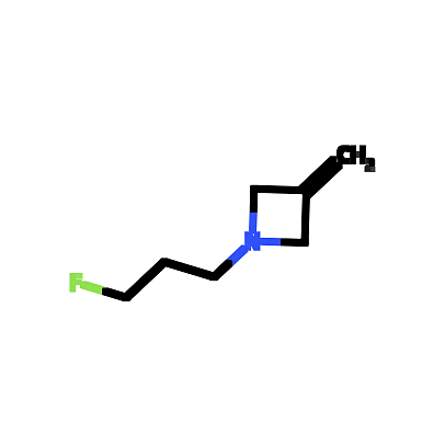 C=C1CN(CCCF)C1